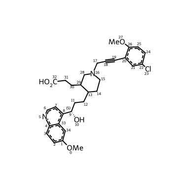 COc1ccc2nccc([C@@H](O)CCC3CCN(CC#Cc4cc(Cl)ccc4OC)CC3CCC(=O)O)c2c1